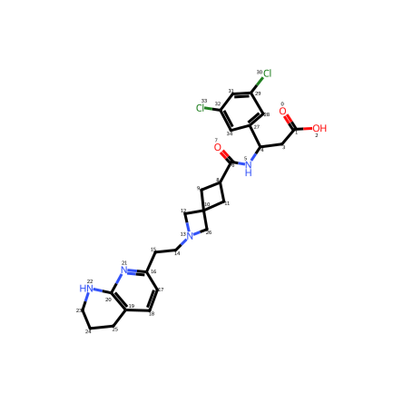 O=C(O)CC(NC(=O)C1CC2(C1)CN(CCc1ccc3c(n1)NCCC3)C2)c1cc(Cl)cc(Cl)c1